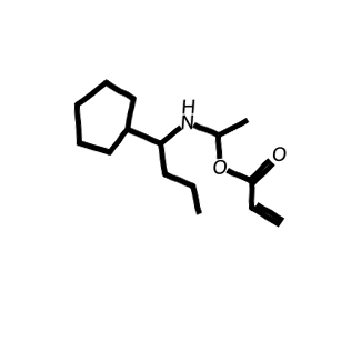 C=CC(=O)OC(C)NC(CCC)C1CCCCC1